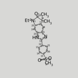 CCN1C(=O)C(C)(C)c2cc3nc(-c4ccc(S(C)(=O)=O)cc4)[nH]c3cc21